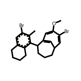 COC1=CC2=CC(C=C1Br)CCCC2c1c(C)c(Br)cc2c1CCCC2